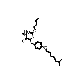 CCCCOC(=O)N[C@@H](Cc1ccc(OCCCCCC(C)C)cc1)C(=O)NC